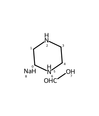 C1CNCCN1.O=CO.[NaH]